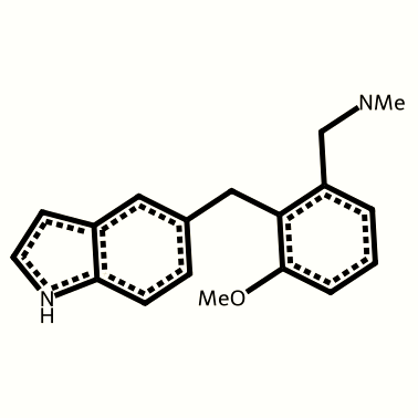 CNCc1cccc(OC)c1Cc1ccc2[nH]ccc2c1